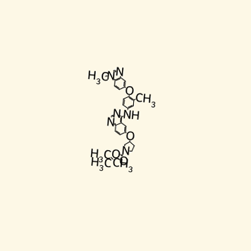 Cc1cc(Nc2ncnc3ccc(O[C@H]4CCN(C(=O)OC(C)(C)C)C4)cc23)ccc1Oc1ccc2c(c1)ncn2C